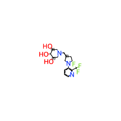 OC1[C@H](O)CN(C[C@H]2CCN(c3cccnc3C(F)(F)F)C2)C[C@@H]1O